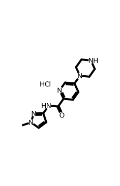 Cl.Cn1ccc(NC(=O)c2ccc(N3CCNCC3)cn2)n1